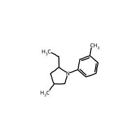 CCC1CC(C)CN1c1cccc(C)c1